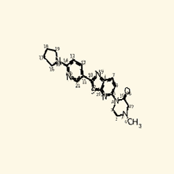 CN1CCN(c2ccc3nc(-c4ccc(N5CCCC5)nc4)sc3n2)C(=O)C1